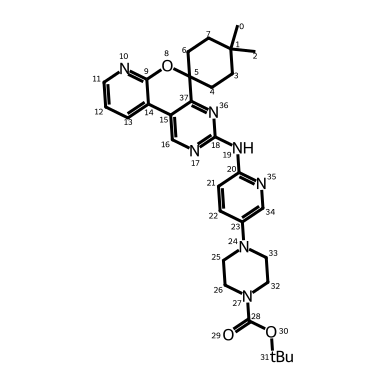 CC1(C)CCC2(CC1)Oc1ncccc1-c1cnc(Nc3ccc(N4CCN(C(=O)OC(C)(C)C)CC4)cn3)nc12